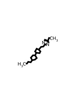 CCCCC1CCC(C2CCC(CCc3ncc(CC)cn3)CC2)CC1